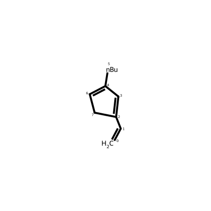 C=CC1=CC(CCCC)=CC1